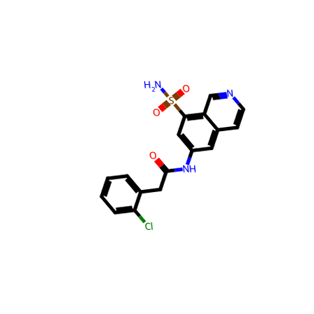 NS(=O)(=O)c1cc(NC(=O)Cc2ccccc2Cl)cc2ccncc12